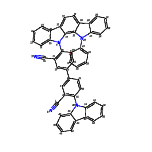 N#Cc1cc(-c2ccc(-n3c4ccccc4c4ccc5c6ccccc6n(-c6ccccc6)c5c43)c(C#N)c2)ccc1-n1c2ccccc2c2ccccc21